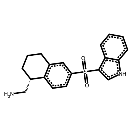 NC[C@@H]1CCCc2cc(S(=O)(=O)c3c[nH]c4ccccc34)ccc21